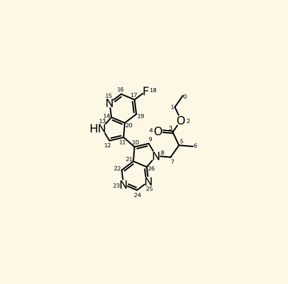 CCOC(=O)C(C)Cn1cc(-c2c[nH]c3ncc(F)cc23)c2cncnc21